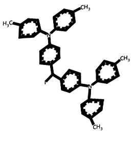 Cc1ccc(N(c2ccc(C)cc2)c2ccc(C(I)c3ccc(N(c4ccc(C)cc4)c4ccc(C)cc4)cc3)cc2)cc1